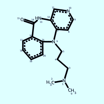 CN(C)CCCN1c2ccncc2NC(=O)c2ccccc21